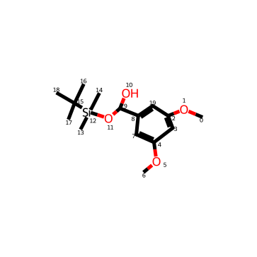 COc1cc(OC)cc(C(O)O[Si](C)(C)C(C)(C)C)c1